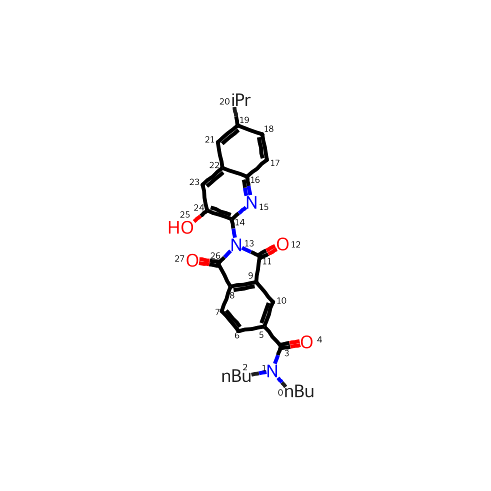 CCCCN(CCCC)C(=O)c1ccc2c(c1)C(=O)N(c1nc3ccc(C(C)C)cc3cc1O)C2=O